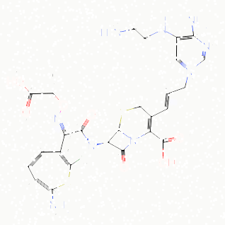 C[C@H](O/N=C(\C(=O)N[C@@H]1C(=O)N2C(C(=O)O)=C(/C=C/C[n+]3cnc(N)c(NCCN)c3)CSC12)C1=C(Cl)SC(N)=CC=C1)C(=O)O